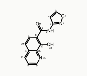 O=C(Nc1ccon1)c1ccc2cccnc2c1O